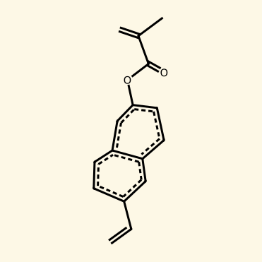 C=Cc1ccc2cc(OC(=O)C(=C)C)ccc2c1